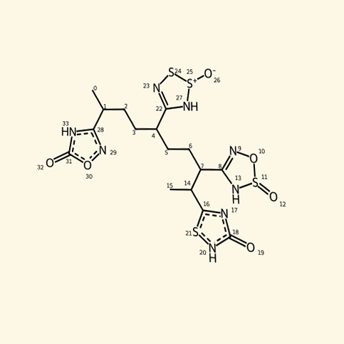 CC(CCC(CCC(C1=NOS(=O)N1)C(C)c1nc(=O)[nH]s1)C1=NS[S+]([O-])N1)c1noc(=O)[nH]1